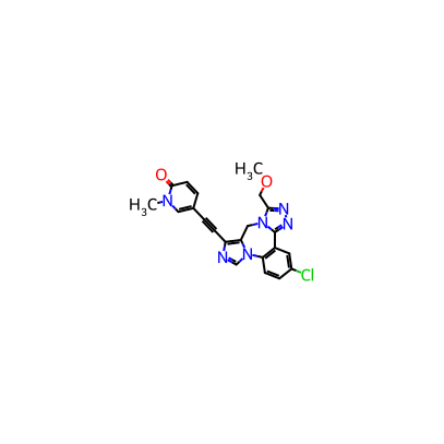 COCc1nnc2n1Cc1c(C#Cc3ccc(=O)n(C)c3)ncn1-c1ccc(Cl)cc1-2